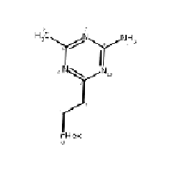 CCCCCCCCc1nc(C)nc(N)n1